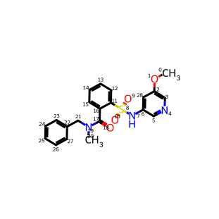 COc1cncc(NS(=O)(=O)c2ccccc2C(=O)N(C)Cc2ccccc2)c1